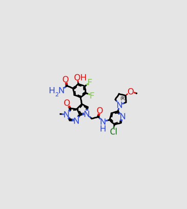 CO[C@@H]1CCN(c2cc(NC(=O)Cn3cc(-c4cc(C(N)=O)c(O)c(F)c4F)c4c(=O)n(C)cnc43)c(Cl)cn2)C1